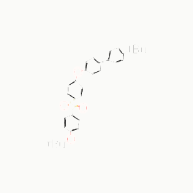 CC(C)(C)Oc1ccc(S(=O)(=O)c2ccc(Oc3ccc(-c4ccc(C(C)(C)C)cc4)cc3)cc2)cc1